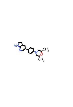 C[C@@H]1CN(c2ccc(-c3cnc4[nH]ccc4c3)cc2)C[C@H](C)O1